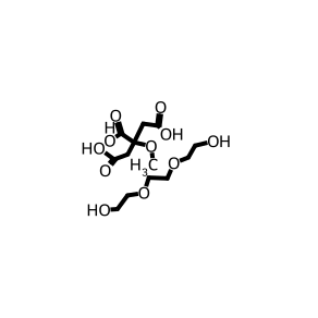 COC(CC(=O)O)(CC(=O)O)C(=O)O.OCCOCCOCCO